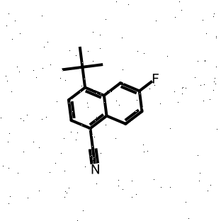 CC(C)(C)c1ccc(C#N)c2ccc(F)cc12